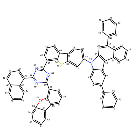 c1ccc(-c2ccc3c(c2)c2c4ccccc4c(-c4ccccc4)cc2n3-c2ccc3c(c2)sc2c(-c4nc(-c5cccc6ccccc56)nc(-c5cccc6c5oc5ccccc56)n4)cccc23)cc1